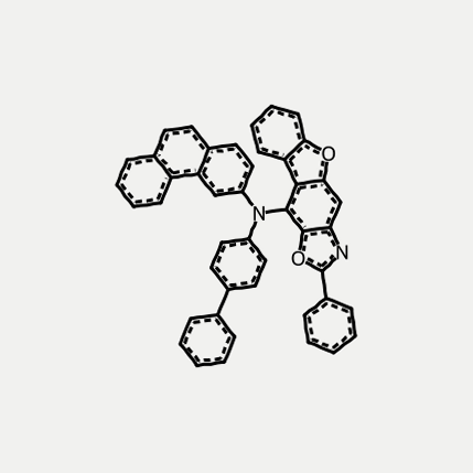 c1ccc(-c2ccc(N(c3ccc4ccc5ccccc5c4c3)c3c4oc(-c5ccccc5)nc4cc4oc5ccccc5c34)cc2)cc1